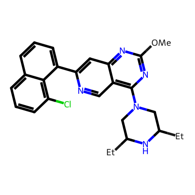 CCC1CN(c2nc(OC)nc3cc(-c4cccc5cccc(Cl)c45)ncc23)CC(CC)N1